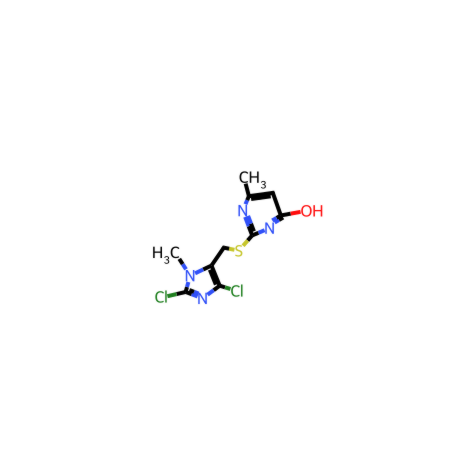 Cc1cc(O)nc(SCc2c(Cl)nc(Cl)n2C)n1